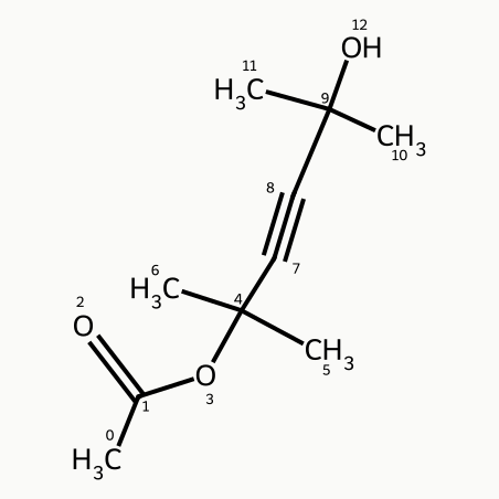 CC(=O)OC(C)(C)C#CC(C)(C)O